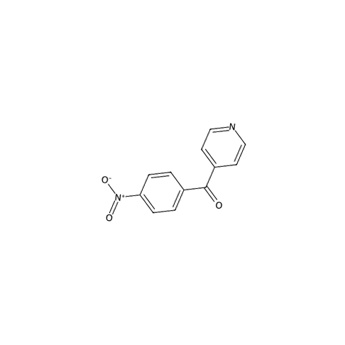 O=C(c1ccncc1)c1ccc([N+](=O)[O-])cc1